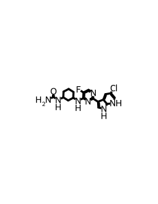 NC(=O)NC1CCCC(Nc2nc(C3=CNC4NC=C(Cl)C=C34)ncc2F)C1